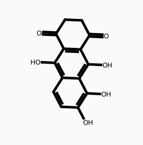 O=C1CCC(=O)c2c1c(O)c1ccc(O)c(O)c1c2O